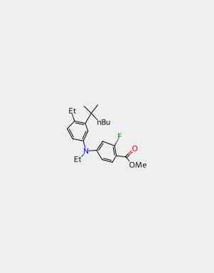 CCCCC(C)(C)c1cc(N(CC)c2ccc(C(=O)OC)c(F)c2)ccc1CC